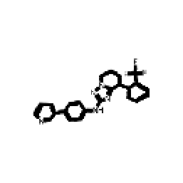 FC(F)(F)c1ccccc1C1CCCn2nc(Nc3ccc(-c4cccnc4)cc3)nc21